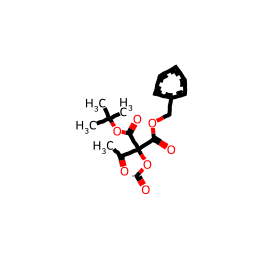 CC(=O)C(O[C]=O)(C(=O)OCc1ccccc1)C(=O)OC(C)(C)C